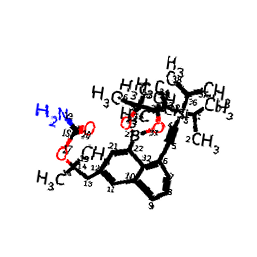 CC(C)[Si](C#Cc1cccc2cc(CC(C)(C)OC(N)=O)cc(B3OC(C)(C)C(C)(C)O3)c12)(C(C)C)C(C)C